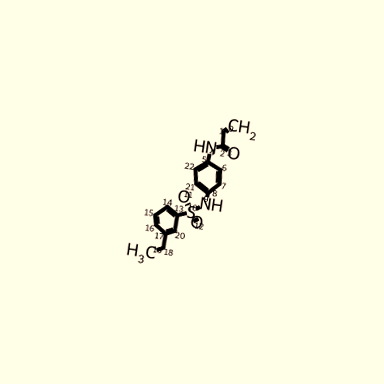 C=CC(=O)Nc1ccc(NS(=O)(=O)c2cccc(CC)c2)cc1